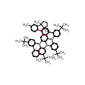 Cc1ccc2c(c1)C1(C)CCCC1(C)N2c1cc2c3c(c1)N(c1ccc(C(C)(C)C)cc1-c1ccccc1)c1ccc(C(C)(C)C)cc1B3c1cc(C(C)(C)C)ccc1N2c1ccc(C(C)(C)C)cc1-c1ccccc1